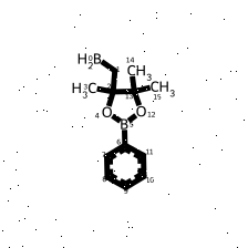 BCC1(C)OB(c2ccccc2)OC1(C)C